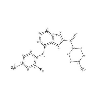 CN1CCN(C(=O)c2cc3nccc(Oc4ccc([N+](=O)[O-])cc4F)c3s2)CC1